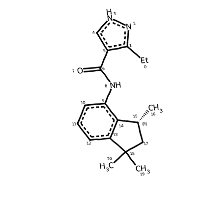 CCc1n[nH]cc1C(=O)Nc1cccc2c1[C@H](C)CC2(C)C